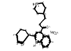 Cl.O=C(CCC1CCNCC1)c1cc(C2CCCCC2)nc2ccccc12